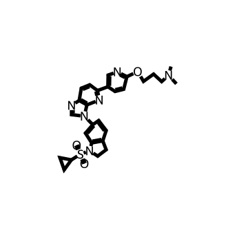 CN(C)CCCOc1ccc(-c2ccc3ncn(-c4ccc5c(c4)N(S(=O)(=O)C4CC4)CC5)c3n2)cn1